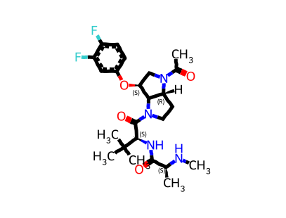 CN[C@@H](C)C(=O)N[C@H](C(=O)N1CC[C@@H]2C1[C@@H](Oc1ccc(F)c(F)c1)CN2C(C)=O)C(C)(C)C